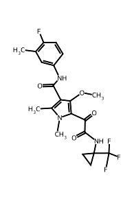 COc1c(C(=O)Nc2ccc(F)c(C)c2)c(C)n(C)c1C(=O)C(=O)NC1(C(F)(F)F)CC1